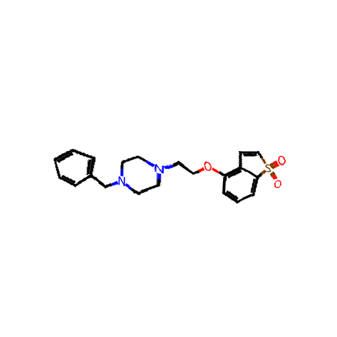 O=S1(=O)C=Cc2c(OCCN3CCN(Cc4ccccc4)CC3)cccc21